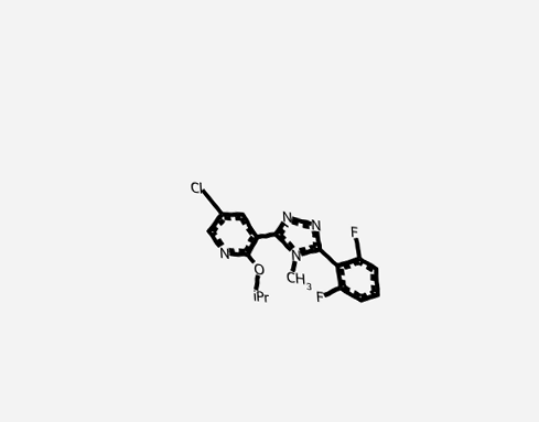 CC(C)Oc1ncc(Cl)cc1-c1nnc(-c2c(F)cccc2F)n1C